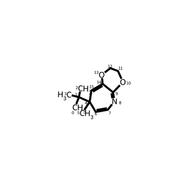 CC(C)(C)C1(C)C=CN=C2OCCOC2=C1